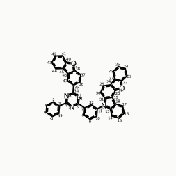 c1ccc(-c2nc(-c3cccc(-n4c5ccccc5c5c6oc7ccccc7c6ccc54)c3)nc(-c3ccc4oc5ccccc5c4c3)n2)cc1